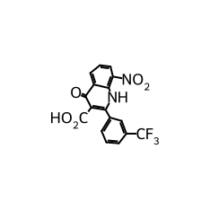 O=C(O)c1c(-c2cccc(C(F)(F)F)c2)[nH]c2c([N+](=O)[O-])cccc2c1=O